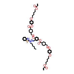 C=CC(=O)OCCCCCCOc1ccc(OOCC2CCC(C(=O)Oc3ccc(OOCC4CCC(C(=O)Oc5ccc(OCCCCCCOC(=O)C=C)cc5)CC4)c(/C=N/N(CCCCCC)c4nc5ccccc5s4)c3)CC2)cc1